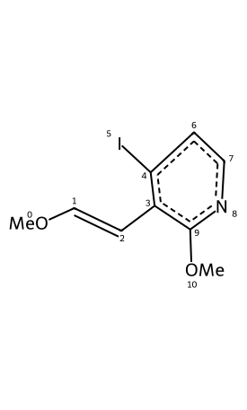 CO/C=C/c1c(I)ccnc1OC